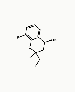 CC1(CF)CC(C=O)c2cccc(F)c2O1